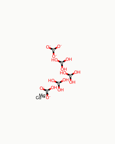 OB(O)O.OB(O)O.OB(O)O.[Gd+3].[Mg+2].[O-]B([O-])O.[O-]B([O-])[O-]